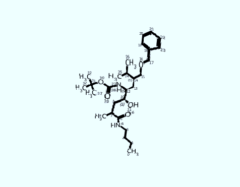 CCCCNC(=O)C(C)C[C@H](O)[C@H](C[C@H](COCc1ccccc1)C(C)C)NC(=O)OC(C)(C)C